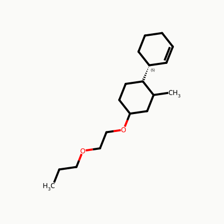 CCCOCCOC1CCC([C@H]2C=CCCC2)C(C)C1